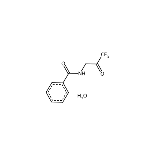 O.O=C(NCC(=O)C(F)(F)F)c1ccccc1